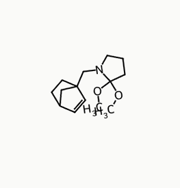 COC1(OC)CCCN1CC12C=CC(CC1)C2